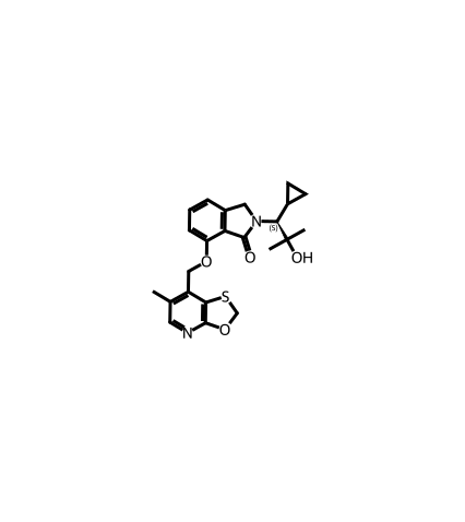 Cc1cnc2c(c1COc1cccc3c1C(=O)N([C@@H](C1CC1)C(C)(C)O)C3)SCO2